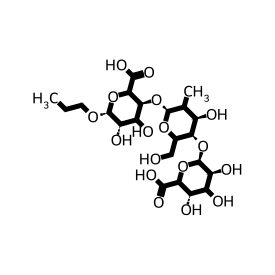 CCCO[C@@H]1OC(C(=O)O)[C@@H](O[C@H]2OC(CO)[C@@H](O[C@@H]3OC(C(=O)O)[C@@H](O)C(O)[C@@H]3O)[C@H](O)C2C)C(O)[C@@H]1O